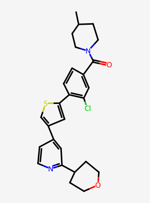 CC1CCN(C(=O)c2ccc(-c3cc(-c4ccnc(C5CCOCC5)c4)cs3)c(Cl)c2)CC1